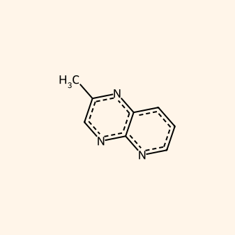 Cc1cnc2ncccc2n1